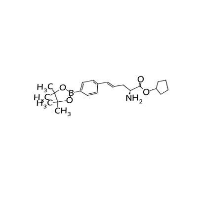 CC1(C)OB(c2ccc(/C=C/C[C@H](N)C(=O)OC3CCCC3)cc2)OC1(C)C